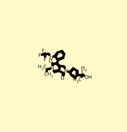 CC(C)n1cc2c(c(-c3ccccc3OCC(F)(F)F)c1=O)CN(c1ccc(C(C)(C)O)cc1)C2=O